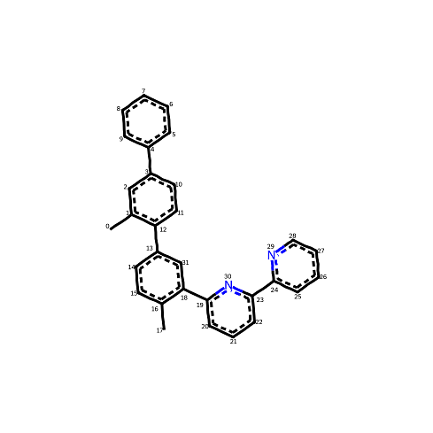 Cc1cc(-c2ccccc2)ccc1-c1ccc(C)c(-c2cccc(-c3ccccn3)n2)c1